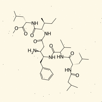 CC[C@H](C)[C@H](NC(=O)C[C@H](N)[C@H](Cc1ccccc1)NC(=O)C(NC(=O)[C@H](CC(C)C)NC(=O)CC(C)C)C(C)C)C(=O)N[C@@H](CC(C)C)C(=O)OC